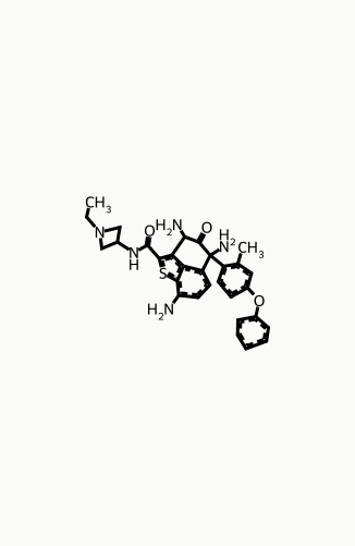 CCN1CC(NC(=O)c2sc3c(N)ccc4c3c2C(N)C(=O)C4(N)c2ccc(Oc3ccccc3)cc2C)C1